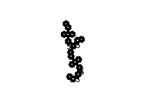 c1ccc2cc(-c3c4ccccc4c(-c4ccc5sc6c(-c7ccc8ccc(-c9c%10ccccc%10c(-c%10ccc%11sc%12cc%13sc%14ccc%15ccccc%15c%14c%13cc%12c%11c%10)c%10ccccc9%10)cc8c7)cc7sc8c9ccccc9ccc8c7c6c5c4)c4ccccc34)ccc2c1